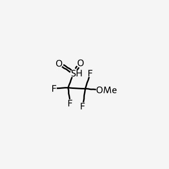 COC(F)(F)C(F)(F)[SH](=O)=O